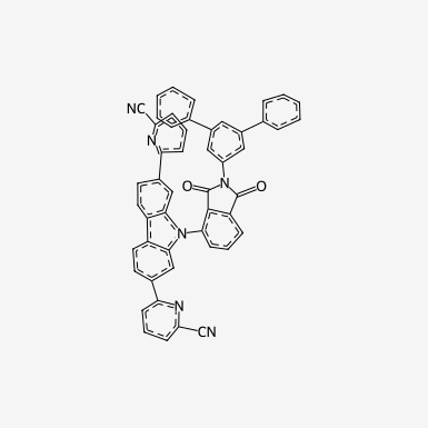 N#Cc1cccc(-c2ccc3c4ccc(-c5cccc(C#N)n5)cc4n(-c4cccc5c4C(=O)N(c4cc(-c6ccccc6)cc(-c6ccccc6)c4)C5=O)c3c2)n1